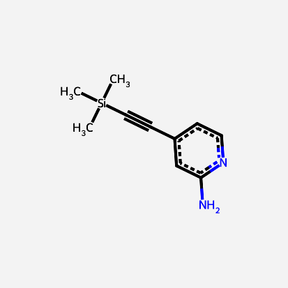 C[Si](C)(C)C#Cc1ccnc(N)c1